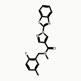 Cc1ccc(F)c(CN(C)C(=O)c2cnn(-c3nc4ccccc4s3)c2)c1